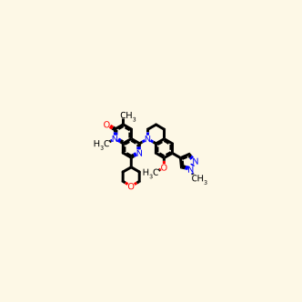 COc1cc2c(cc1-c1cnn(C)c1)CCCN2c1nc(C2CCOCC2)cc2c1cc(C)c(=O)n2C